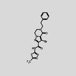 O=C(Nc1nnc(C(F)(F)F)s1)c1nn2c(c1Br)C(=O)N(CCc1ccccc1)CC2